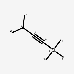 [CH2]C(C)C#C[Si](C)(C)C